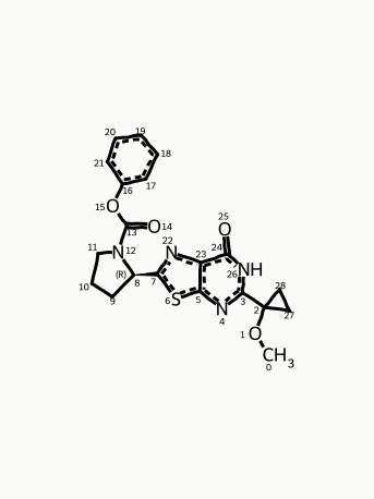 COC1(c2nc3sc([C@H]4CCCN4C(=O)Oc4ccccc4)nc3c(=O)[nH]2)CC1